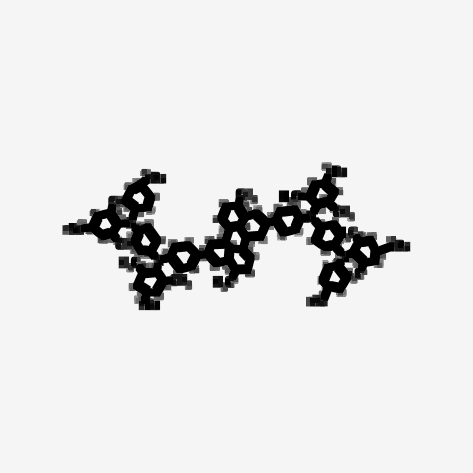 CCCCc1ccc(N(c2ccc(N(c3ccc(-c4cc5c(C)ccc6c7cc(-c8ccc(N(c9ccc(N(c%10ccc(CCCC)cc%10)c%10c(C)cc(CCCC)cc%10C)cc9)c9c(C)cc(CCCC)cc9C)cc8)cc8c(C)ccc(c(c4)c56)c87)cc3)c3c(C)cc(CCCC)cc3C)cc2)c2c(C)cc(CCCC)cc2C)cc1